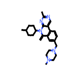 C=C1c2cc(CN3CCN(C)CC3)ccc2-c2cnc(C)nc2N1C1CCC(C)CC1